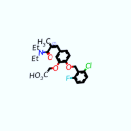 CCN(CC)C(=O)/C(C)=C\c1ccc(OCc2c(F)cccc2Cl)c(OCC(=O)O)c1